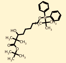 CC(C)(C)OC(=O)C(C)(C)C(O)CCCCCO[Si](c1ccccc1)(c1ccccc1)C(C)(C)C